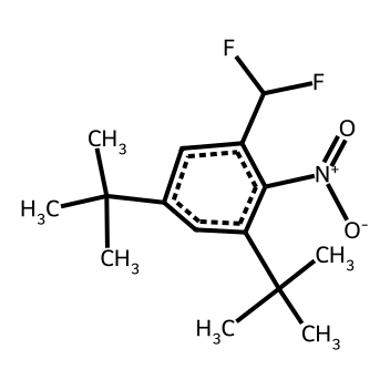 CC(C)(C)c1cc(C(F)F)c([N+](=O)[O-])c(C(C)(C)C)c1